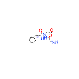 CNCC(=O)NN(C[C]=O)C(=O)/C=C/c1ccccc1